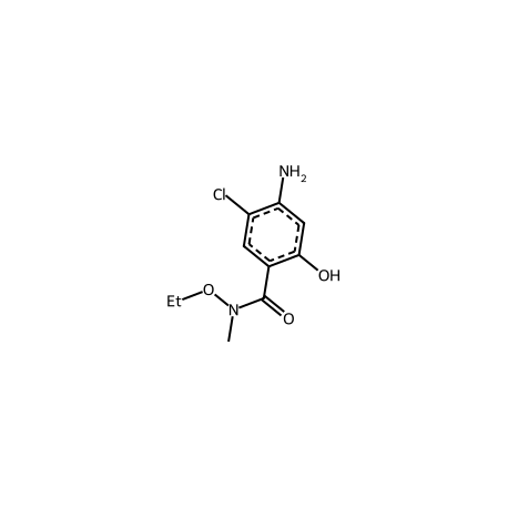 CCON(C)C(=O)c1cc(Cl)c(N)cc1O